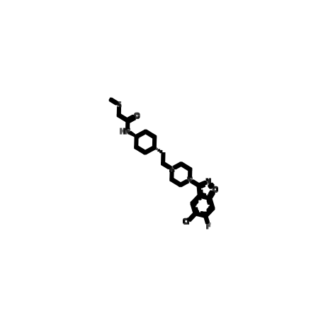 CSCC(=O)N[C@H]1CC[C@H](CCN2CCN(c3noc4cc(F)c(Cl)cc34)CC2)CC1